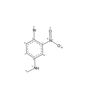 CNc1ccc(Br)c([N+](=O)[O-])c1